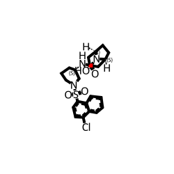 O=C(N[C@H]1CCCN(S(=O)(=O)c2ccc(Cl)c3ccccc23)C1)N1[C@@H]2CC[C@H]1C[C@H](O)C2